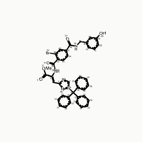 COC(=O)C(=Cc1ncn(C(c2ccccc2)(c2ccccc2)c2ccccc2)n1)NC(=O)c1ccc(C(=O)NCc2cccc(O)c2)cc1Br